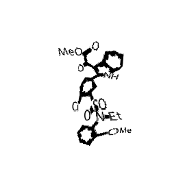 CCN(c1ccccc1OC)S(=O)(=O)c1cc(-c2[nH]c3ccccc3c2C(=O)C(=O)OC)ccc1Cl